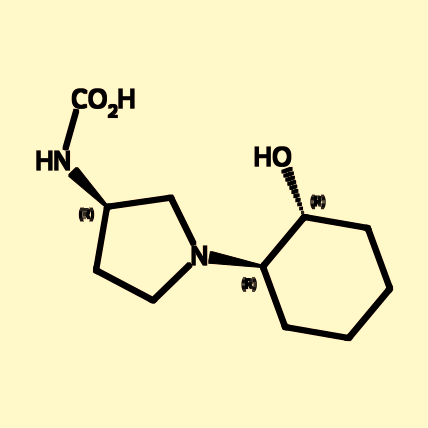 O=C(O)N[C@@H]1CCN([C@@H]2CCCC[C@H]2O)C1